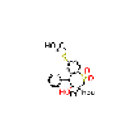 CCCCC1(CC)CS(=O)(=O)c2ccc(SCC(=O)O)cc2C(c2ccccc2)C1O